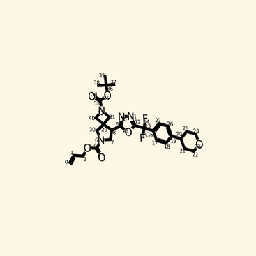 C=CCOC(=O)N1CC(c2nnc(C(F)(F)c3ccc(C4CCOCC4)cc3)o2)C2(C1)CN(C(=O)OC(C)(C)C)C2